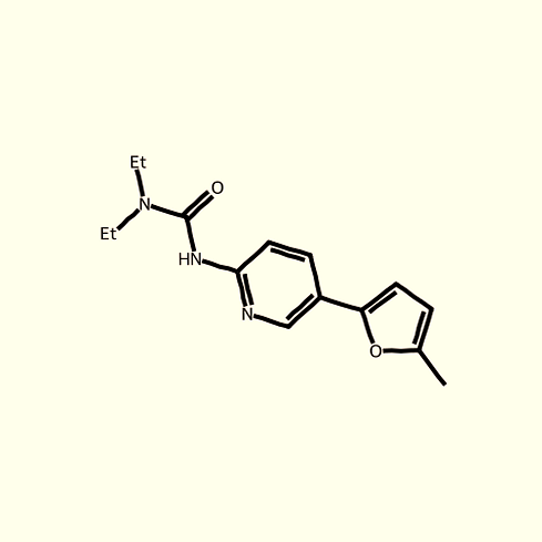 CCN(CC)C(=O)Nc1ccc(-c2ccc(C)o2)cn1